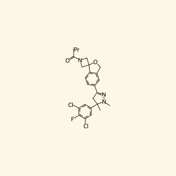 CC(C)C(=O)N1CC2(C1)OCc1cc(C3=NN(C)C(C)(c4cc(Cl)c(F)c(Cl)c4)C3)ccc12